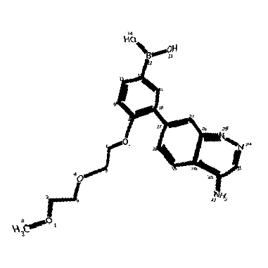 COCCOCCOc1ccc(B(O)O)cc1-c1ccc2c(N)cnnc2c1